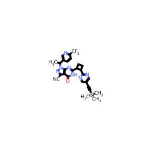 CC(c1ccc(C(F)(F)F)nc1)n1nc(C#N)c2c(=O)[nH]c(C3CCC3c3ncc(C#C[Si](C)(C)C)cn3)nc21